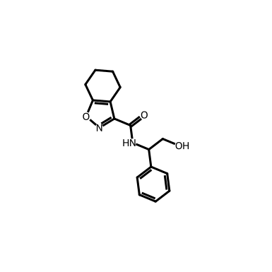 O=C(NC(CO)c1ccccc1)c1noc2c1CCCC2